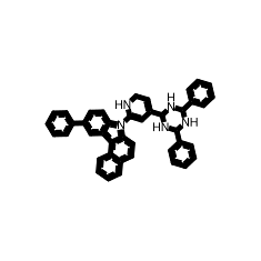 C1=C(C2NC(c3ccccc3)NC(c3ccccc3)N2)C=C(n2c3ccc(-c4ccccc4)cc3c3c4ccccc4ccc32)NC1